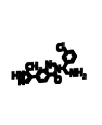 Cc1[nH]ncc1-c1ccc2c(=O)n(C(CN)c3cccc(Cl)c3)cnc2c1